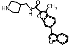 Cc1c(C(=O)NCC2CCNCC2)oc2cc(-c3coc4ccccc34)ccc12